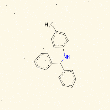 Cc1ccc(NC(c2ccccc2)c2ccccc2)cc1